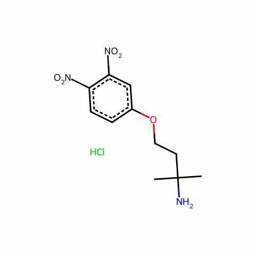 CC(C)(N)CCOc1ccc([N+](=O)[O-])c([N+](=O)[O-])c1.Cl